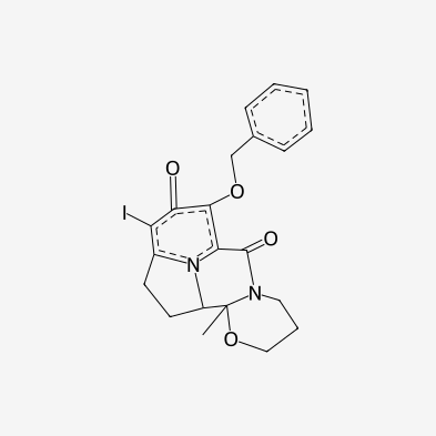 CC12OCCCN1C(=O)c1c(OCc3ccccc3)c(=O)c(I)c3n1C2CC3